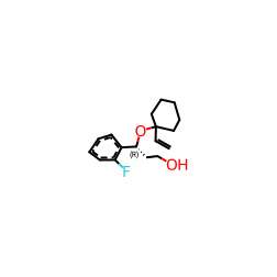 C=CC1(O[C@H](CCO)c2ccccc2F)CCCCC1